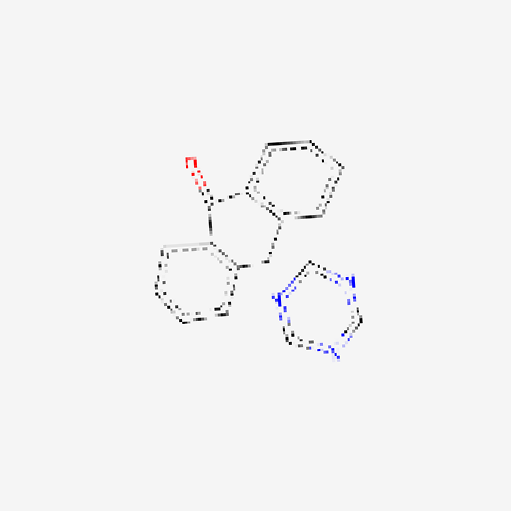 O=C1c2ccccc2Cc2ccccc21.c1ncncn1